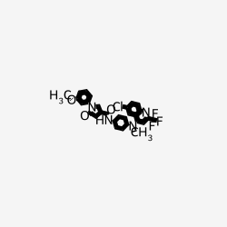 COc1cccc(N2CC(C(=O)N[C@H]3CC[C@@H](N(C)c4cc(C(F)(F)F)nc5ccc(Cl)cc45)CC3)CC2=O)c1